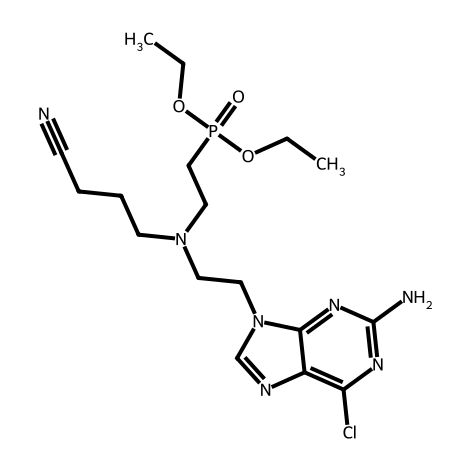 CCOP(=O)(CCN(CCCC#N)CCn1cnc2c(Cl)nc(N)nc21)OCC